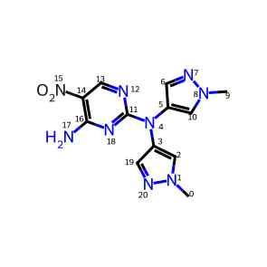 Cn1cc(N(c2cnn(C)c2)c2ncc([N+](=O)[O-])c(N)n2)cn1